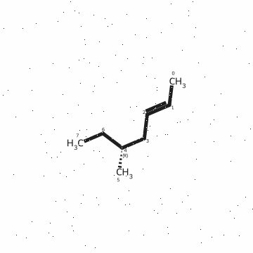 CC=CC[C@H](C)CC